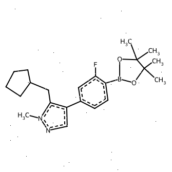 Cn1ncc(-c2ccc(B3OC(C)(C)C(C)(C)O3)c(F)c2)c1C[C]1CCCC1